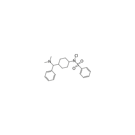 CN(C)C(c1ccccc1)C1CCC(N(Cl)S(=O)(=O)c2ccccc2)CC1